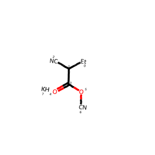 CCC(C#N)C(=O)OC#N.[KH]